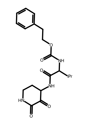 CC(C)C(NC(=O)OCCc1ccccc1)C(=O)NC1CCNC(=O)C1=O